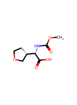 COC(=O)N[C@H](C(=O)O)[C@H]1CCOC1